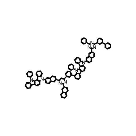 c1ccc(-c2cccc(-c3nc(-c4ccccc4)nc(-c4ccc5ccc(-n6c7ccccc7c7c6ccc6c8cccc(-c9cccc(-c%10cc(-c%11ccc%12cc(-n%13c%14ccccc%14c%14c%13ccc%13c%15ccccc%15n(-c%15ccccc%15)c%13%14)ccc%12c%11)nc(-c%11ccc%12ccccc%12c%11)n%10)c9)c8n(-c8ccccc8)c67)cc5c4)n3)c2)cc1